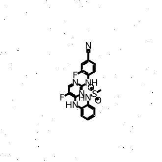 CS(=O)(=O)Nc1ccccc1Nc1nc(Nc2ccc(C#N)cc2F)ncc1F